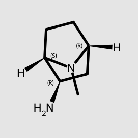 CN1[C@@H]2CC[C@H]1[C@H](N)C2